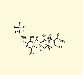 CN(C)c1cc(CNCC(F)(F)C(F)(F)F)c(O)c2c1C[C@H]1C[C@H]3CC(O)=C(C(N)=O)C(=O)[C@@]3(O)C(O)=C1C2=O